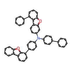 c1ccc(-c2ccc(N(c3ccc(-c4cccc5c4oc4ccccc45)cc3)c3ccc4c(c3)oc3cccc(-c5ccccc5)c34)cc2)cc1